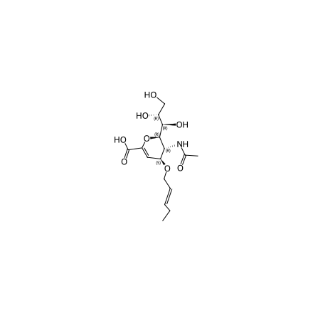 CCC=CCO[C@H]1C=C(C(=O)O)O[C@@H]([C@H](O)[C@H](O)CO)[C@@H]1NC(C)=O